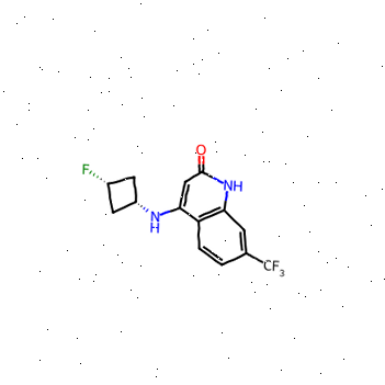 O=c1cc(N[C@H]2C[C@@H](F)C2)c2ccc(C(F)(F)F)cc2[nH]1